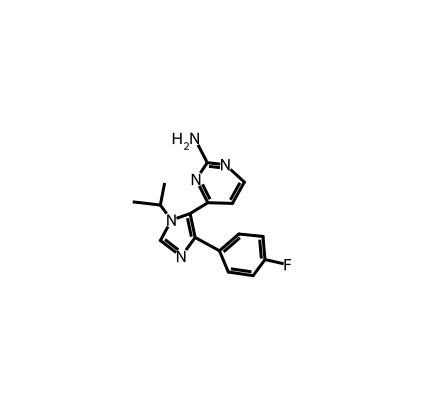 CC(C)n1cnc(-c2ccc(F)cc2)c1-c1ccnc(N)n1